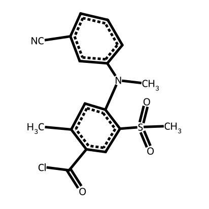 Cc1cc(N(C)c2cccc(C#N)c2)c(S(C)(=O)=O)cc1C(=O)Cl